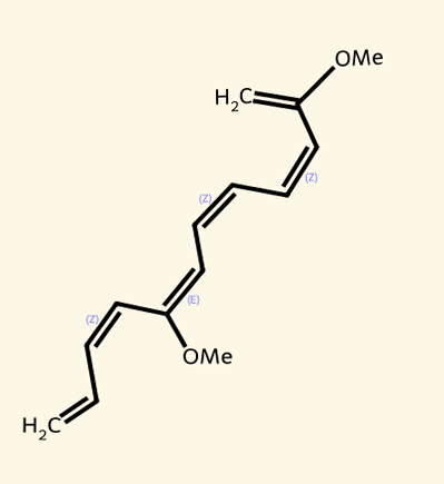 C=C\C=C/C(=C\C=C/C=C\C(=C)OC)OC